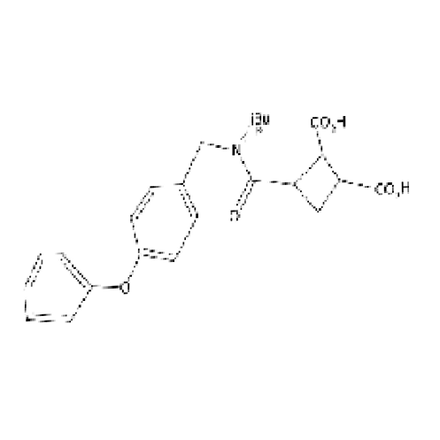 CC[C@@H](C)N(Cc1ccc(Oc2ccccc2)cc1)C(=O)C1CC(C(=O)O)C1C(=O)O